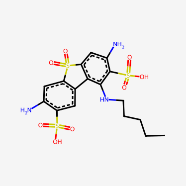 CCCCCNc1c2c(cc(N)c1S(=O)(=O)O)S(=O)(=O)c1cc(N)c(S(=O)(=O)O)cc1-2